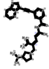 C=C(/C(=C\C=C(/C)NC(=O)c1cncc(C#Cc2cnc3cccnn23)c1)CN1CC[C@@H](N(C)C)C1)C(F)(F)F